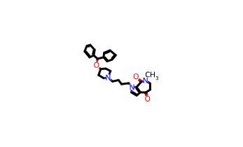 CN1CCC(=O)c2ccn(CCCCN3CCC(OC(c4ccccc4)c4ccccc4)CC3)c2C1=O